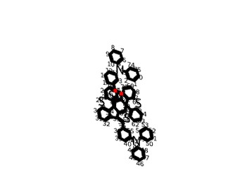 c1ccc(N(c2ccccc2)c2cccc(-c3cc4c(s3)C35c6ccccc6Sc6cccc(c63)-c3c(-c6cccc(N(c7ccccc7)c7ccccc7)c6)sc(c35)C43c4ccccc4Sc4ccccc43)c2)cc1